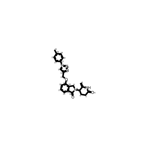 C=C1NC(=O)CCC1N1Cc2c(OCc3cn(-c4ccc(C)cc4)nn3)cccc2C1=O